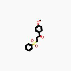 COc1ccc(C(=O)CCS(=O)(=O)c2ccccc2)cc1